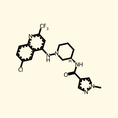 Cn1cc(C(=O)N[C@@H]2CCCN(Nc3cc(C(F)(F)F)nc4ccc(Cl)cc34)C2)cn1